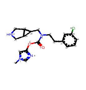 Cn1cnc(OC(=O)N(CCc2cccc(Cl)c2)CC2C3CNCC32)c1